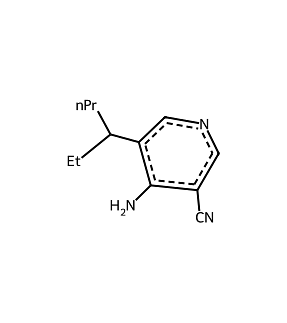 CCCC(CC)c1cncc(C#N)c1N